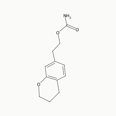 NC(=O)OCCc1ccc2c(c1)OCCC2